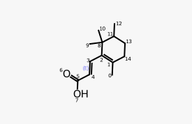 CC1=C(/C=C/C(=O)O)C(C)(C)C(C)CC1